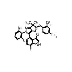 CCc1cccc(CC)c1-n1nc2c(c1-c1ccc(F)c3[nH]cc(Cl)c13)CN(Cc1ccc(C(F)(F)F)cc1C(F)(F)F)C2(C)C